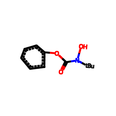 CC(C)(C)N(O)C(=O)Oc1ccccc1